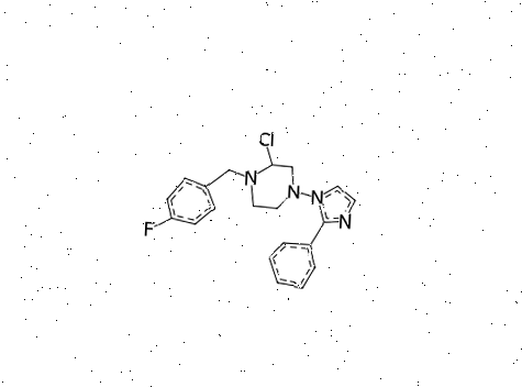 Fc1ccc(CN2CCN(n3ccnc3-c3ccccc3)CC2Cl)cc1